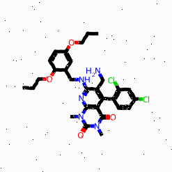 CCCOC1=CC(CNc2nc3c(c(-c4ccc(Cl)cc4Cl)c2CN)c(=O)n(C)c(=O)n3C)C(OCCC)C=C1